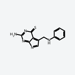 NC1=NC(=S)C2=C(CNc3ccccc3)C=NC2=N1